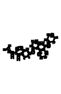 O=C(Nc1ccc(Oc2ccnc3cc(OC4CCOCC4)c4c(c23)OCCO4)cc1Cl)NC1CC1